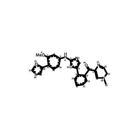 COc1cc(Nc2ncc(-c3ccccc3C(=O)C3=CN(C)CC=N3)o2)ccc1-c1cnco1